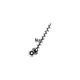 CCCCCCCCCCCCCCCCCCOS(=O)(=O)c1ccccc1.[Na]